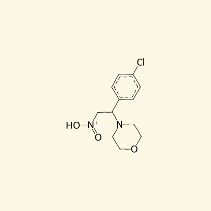 O=[N+](O)CC(c1ccc(Cl)cc1)N1CCOCC1